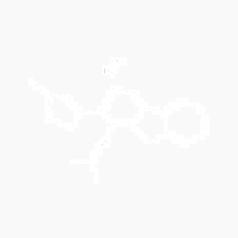 CC1=CCC(c2ccc3c([c]2[Zr]=[C](C)C)Cc2ccccc2-3)=C1.Cl.Cl